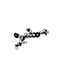 CC(=O)N1CC(Nc2cc(C(=O)NCC[C@@H]3Cc4ccc(OCc5ocnc5C)cc4CN3C(=O)OC(C)(C)C)nc(N3CC4CCC(C4)C3)n2)C1